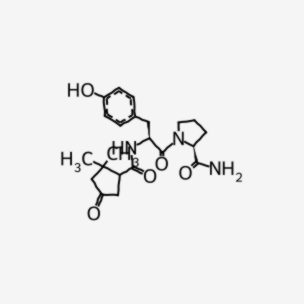 CC1(C)CC(=O)CC1C(=O)N[C@@H](Cc1ccc(O)cc1)C(=O)N1CCC[C@H]1C(N)=O